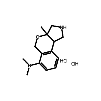 CN(C)c1cccc2c1COC1(C)CNCC21.Cl.Cl